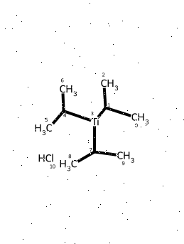 C[CH](C)[Ti]([CH](C)C)[CH](C)C.Cl